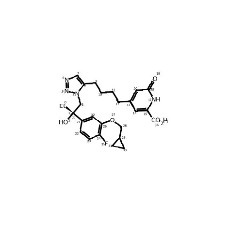 CC[C@@](O)(Cn1nncc1CCCCc1cc(C(=O)O)[nH]c(=O)c1)c1ccc(F)c(OCC2CC2)c1